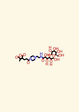 CC1=C(CCC(=O)N2CCN(CCNC(=O)C(O)C(O)[C@@H](OC3O[C@H](CO)[C@H](O)[C@H](O)[C@H]3O)C(O)CO)CC2)C(=O)OC1=O